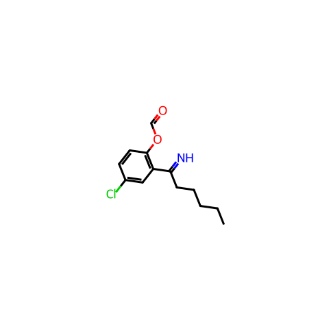 CCCCCC(=N)c1cc(Cl)ccc1OC=O